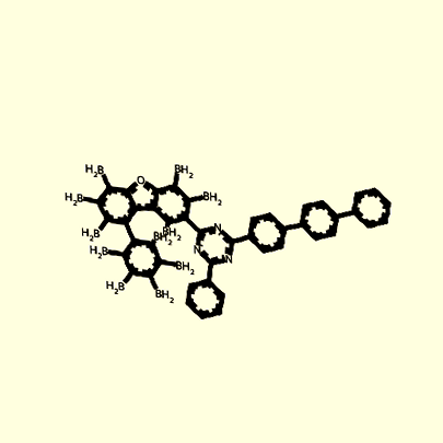 Bc1c(B)c(B)c(-c2c(B)c(B)c(B)c3oc4c(B)c(B)c(-c5nc(-c6ccccc6)nc(-c6ccc(-c7ccc(-c8ccccc8)cc7)cc6)n5)c(B)c4c23)c(B)c1B